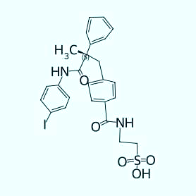 C[C@@](Cc1ccc(C(=O)NCCS(=O)(=O)O)cc1)(C(=O)Nc1ccc(I)cc1)c1ccccc1